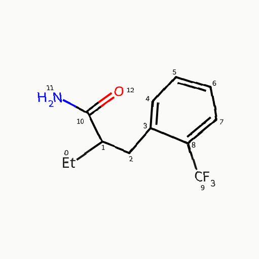 CCC(Cc1ccccc1C(F)(F)F)C(N)=O